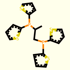 CC(CP(c1cccs1)c1cccs1)P(c1cccs1)c1cccs1